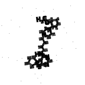 COc1ccccc1N1CCN(CCCCNc2ncnc3sc4c(c23)CCCC4)CC1